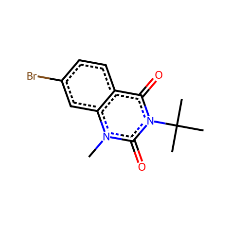 Cn1c(=O)n(C(C)(C)C)c(=O)c2ccc(Br)cc21